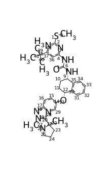 CSc1nc(NC(=O)N[C@H]2CC[C@@H](Oc3ccc4nnc([C@]5(C)CCCN5C)n4c3)c3ccccc32)cc(C(C)(C)C)n1